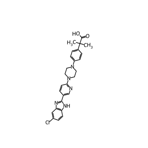 CC(C)(C(=O)O)c1ccc(N2CCN(c3ccc(-c4nc5cc(Cl)ccc5[nH]4)cn3)CC2)cc1